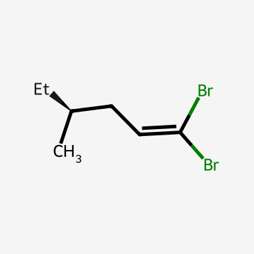 CC[C@H](C)CC=C(Br)Br